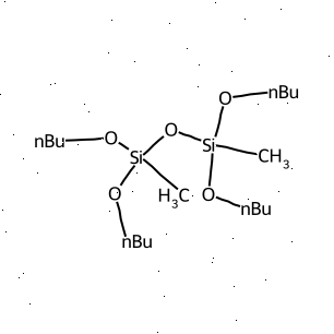 CCCCO[Si](C)(OCCCC)O[Si](C)(OCCCC)OCCCC